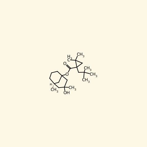 CC(C)(C)CC1(C(=O)OC23CCC[C@](C)(CC(C)(O)C2)C3)CC1(C)C